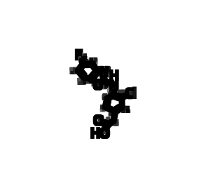 O=C(O)Cc1ccc(Nc2nc3cc(F)ccc3o2)c(Cl)c1